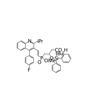 COP(=O)(C=Cc1c(C(C)C)nc2ccccc2c1-c1ccc(F)cc1)CC(CC(=O)O)O[Si](c1ccccc1)(c1ccccc1)C(C)(C)C